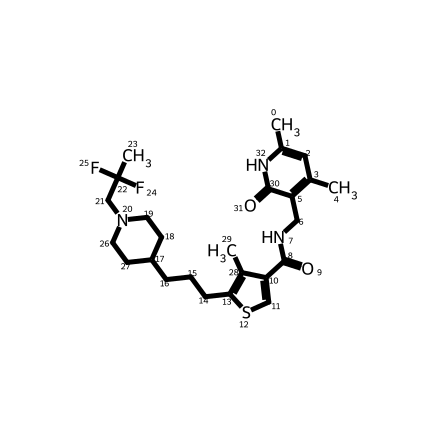 Cc1cc(C)c(CNC(=O)c2csc(CCCC3CCN(CC(C)(F)F)CC3)c2C)c(=O)[nH]1